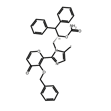 NC(=O)O[C@H](Cn1c(I)cnc1-c1occc(=O)c1OCc1ccccc1)C(c1ccccc1)c1ccccc1